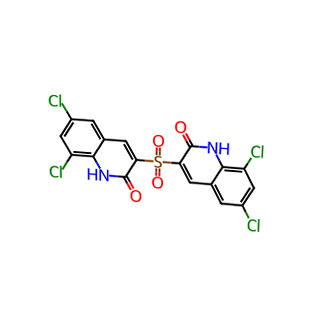 O=c1[nH]c2c(Cl)cc(Cl)cc2cc1S(=O)(=O)c1cc2cc(Cl)cc(Cl)c2[nH]c1=O